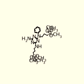 CO[Si](CCCNc1nc(N)nc(N(CCC[Si](OC)(OC)OC)c2ccccc2)n1)(OC)OC